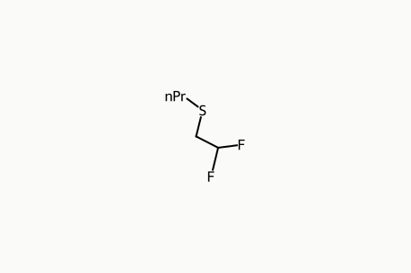 [CH2]CCSCC(F)F